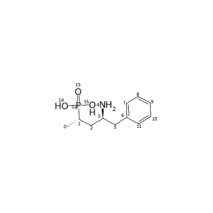 C[C@@H](C[C@@H](N)Cc1ccccc1)P(=O)(O)O